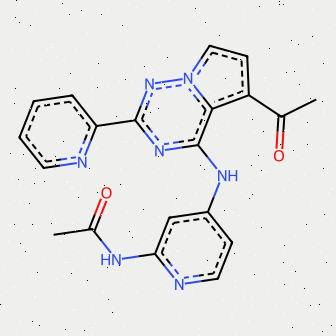 CC(=O)Nc1cc(Nc2nc(-c3ccccn3)nn3ccc(C(C)=O)c23)ccn1